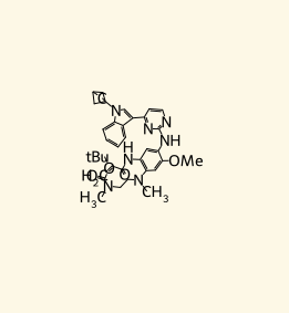 C=CC(=O)Nc1cc(Nc2nccc(-c3cn(C45CC(C4)C5)c4ccccc34)n2)c(OC)cc1N(C)CCN(C)C(=O)OC(C)(C)C